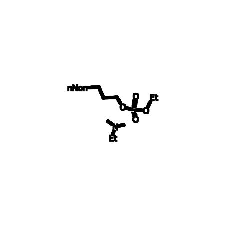 CCCCCCCCCCCCOS(=O)(=O)OCC.CCN(C)C